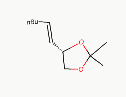 CCCC/C=C/[C@H]1COC(C)(C)O1